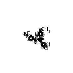 COc1cc(F)c(-n2cc(-c3ccc(Cl)c(Cl)c3)nc2NC(=O)c2ccc(OC(F)F)cc2)c(F)c1